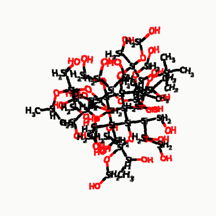 C[SiH](C)O[Si](O[Si](O[Si](O[Si](C)(C)O[Si](C)(C)C)([Si](O[Si](O[SiH2]O)([SiH2]O)[SiH](C)O)([Si](O[SiH2]O)([SiH2]O)[SiH2]O)[Si](O[SiH2]O)([SiH2]O)[SiH2]O)[Si](O[Si](O[SiH2]O)([SiH2]O)[SiH2]O)([Si](O[SiH2]O)([SiH2]O)[SiH2]O)[Si](O[SiH2]O)([SiH2]O)[SiH](C)O)([Si](O[SiH2]O)([SiH2]O)[SiH2]O)[Si](O[SiH2]O)([SiH2]O)[SiH2]O)([SiH2]O)[SiH2]O